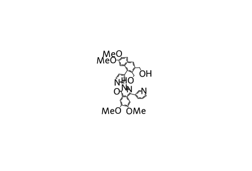 COc1cc2cc(CO)c(CO)c(-c3ccnc(-n4nc(-c5cccnc5)c5cc(OC)c(OC)cc5c4=O)c3)c2cc1OC